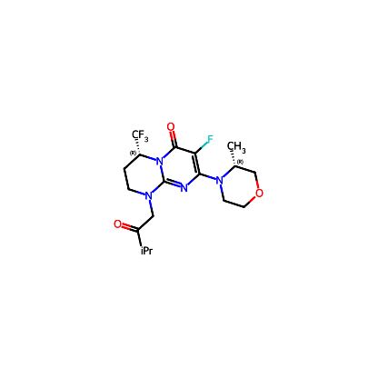 CC(C)C(=O)CN1CC[C@H](C(F)(F)F)n2c1nc(N1CCOC[C@H]1C)c(F)c2=O